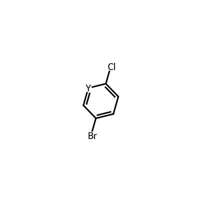 Cl[C]1=CC=C(Br)[CH]=[Y]1